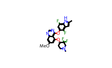 COc1cc(O[C@@H]2CCN(C)CC2(F)F)c2c(Oc3cc(F)c4[nH]c(C)cc4c3F)ncnc2c1